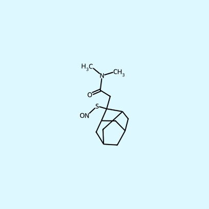 CN(C)C(=O)CC1(SN=O)C2CC3CC(C2)CC1C3